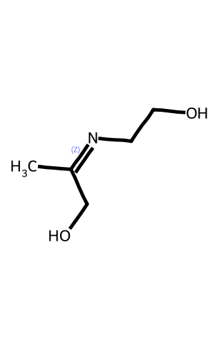 C/C(CO)=N/CCO